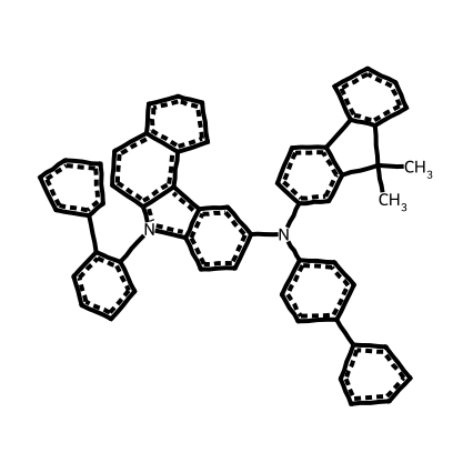 CC1(C)c2ccccc2-c2ccc(N(c3ccc(-c4ccccc4)cc3)c3ccc4c(c3)c3c5ccccc5ccc3n4-c3ccccc3-c3ccccc3)cc21